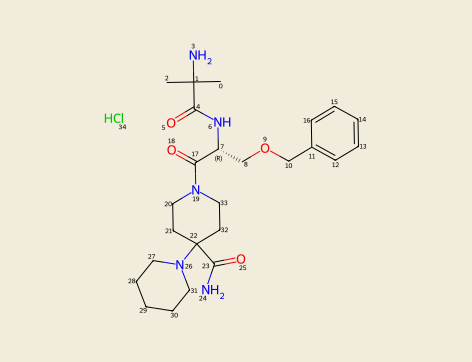 CC(C)(N)C(=O)N[C@H](COCc1ccccc1)C(=O)N1CCC(C(N)=O)(N2CCCCC2)CC1.Cl